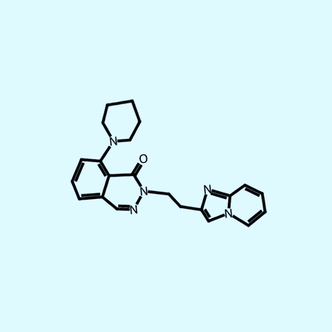 O=c1c2c(N3CCCCC3)cccc2cnn1CCc1cn2ccccc2n1